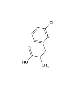 CC(Cc1cccc(Cl)n1)C(=O)O